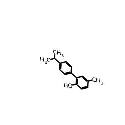 Cc1ccc(O)c(-c2ccc(C(C)C)cc2)c1